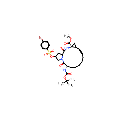 COC(=O)[C@@]12CC1/C=C\CCCCC[C@H](NC(=O)OC(C)(C)C)C(=O)N1CC(OS(=O)(=O)c3ccc(Br)cc3)CC1C(=O)N2